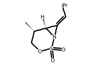 CC(C)/C=C1\[C@@H]2[C@@H](C)COS(=O)(=O)N12